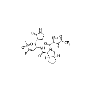 CC(C)(C)[C@@H](NC(=O)C(F)(F)F)C(=O)N1C[C@H]2CCC[C@H]2[C@H]1C(=O)N[C@@H](/C=C(/F)S(C)(=O)=O)C[C@H]1CCNC1=O